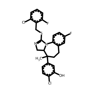 CC1(c2ccc(Cl)c(O)c2)CCc2cc(F)ccc2N2C(SCc3c(F)cccc3Cl)=NCC21